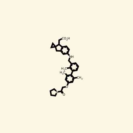 Cc1cc(OCC(=O)N2CCCC2)cc(C)c1-c1cccc(CNc2ccc3c(c2)CC2(CC2)C3CC(=O)O)c1C